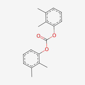 Cc1cccc(OC(=O)Oc2cccc(C)c2C)c1C